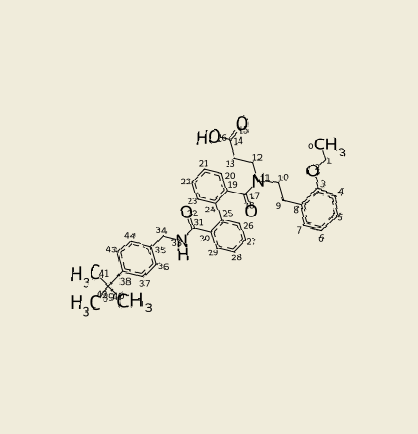 CCOc1ccccc1CCN(CCC(=O)O)C(=O)c1ccccc1-c1ccccc1C(=O)NCc1ccc(C(C)(C)C)cc1